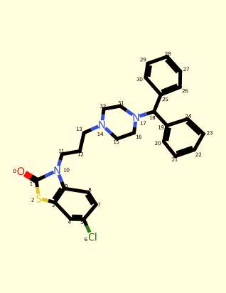 O=c1sc2cc(Cl)ccc2n1CCCN1CCN(C(c2ccccc2)c2ccccc2)CC1